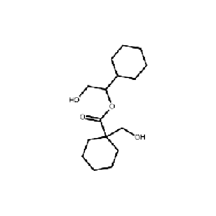 O=C(OC(CO)C1CCCCC1)C1(CO)CCCCC1